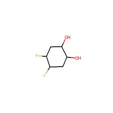 OC1CC(F)C(F)CC1O